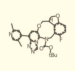 Cc1cc(-c2cc3c(n4cnnc24)N(C(=O)OC(C)(C)C)Cc2c(F)ccc4c2[C@H](CO4)CO3)c(C)cn1